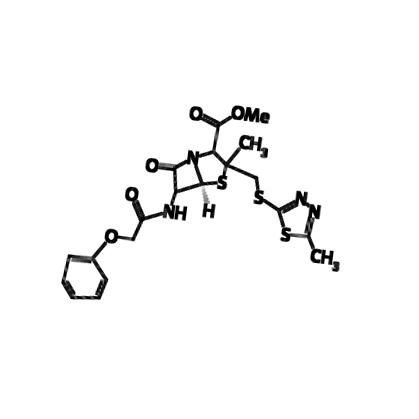 COC(=O)C1N2C(=O)C(NC(=O)COc3ccccc3)[C@@H]2SC1(C)CSc1nnc(C)s1